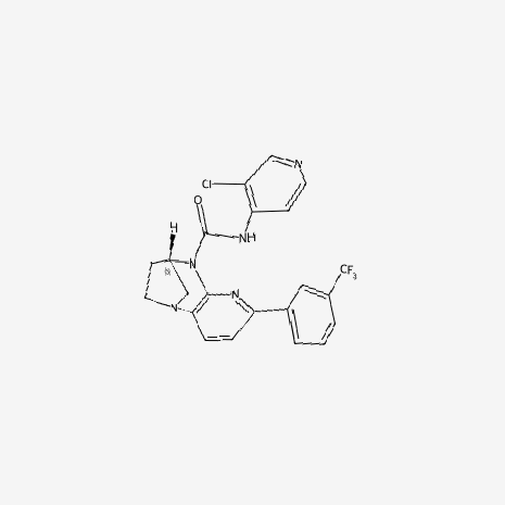 O=C(Nc1ccncc1Cl)N1c2nc(-c3cccc(C(F)(F)F)c3)ccc2N2CC[C@H]1C2